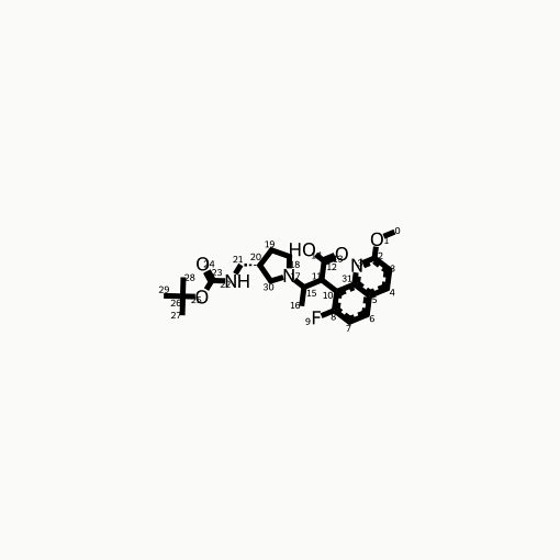 COc1ccc2ccc(F)c(C(C(=O)O)C(C)N3CC[C@@H](CNC(=O)OC(C)(C)C)C3)c2n1